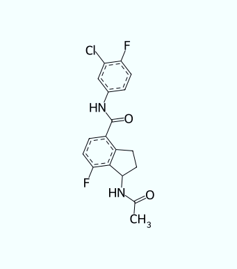 CC(=O)NC1CCc2c(C(=O)Nc3ccc(F)c(Cl)c3)ccc(F)c21